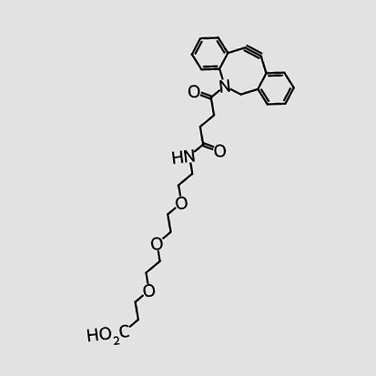 O=C(O)CCOCCOCCOCCNC(=O)CCC(=O)N1Cc2ccccc2C#Cc2ccccc21